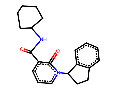 O=C(NC1CCCCC1)c1cccn(C2CCc3ccccc32)c1=O